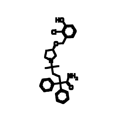 CC(C)(CCC(C(N)=O)(c1ccccc1)c1ccccc1)N1CC[C@@H](OCc2cccc(O)c2Cl)C1